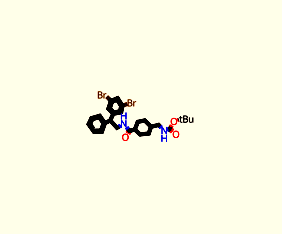 CC(C)(C)OC(=O)NCC1CCC(C(=O)NCC(c2ccccc2)c2cc(Br)cc(Br)c2)CC1